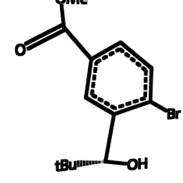 COC(=O)c1ccc(Br)c([C@H](O)C(C)(C)C)c1